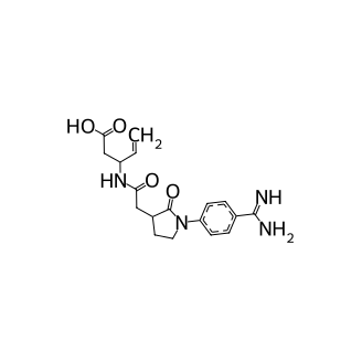 C=CC(CC(=O)O)NC(=O)CC1CCN(c2ccc(C(=N)N)cc2)C1=O